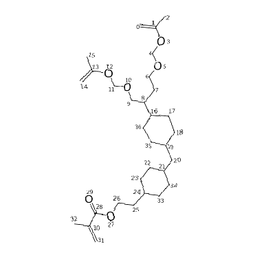 C=C(C)OCOCCC(COCOC(=C)C)C1CCC(CC2CCC(CCOC(=O)C(=C)C)CC2)CC1